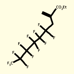 C=C(CC(F)(F)C(F)(F)C(F)(F)C(F)(F)C(F)(F)C(F)(F)F)C(=O)OCC